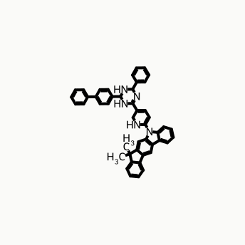 CC1(C)c2ccccc2-c2cc3c4ccccc4n(C4=CC=C(C5=NC(c6ccccc6)NC(c6ccc(-c7ccccc7)cc6)N5)CN4)c3cc21